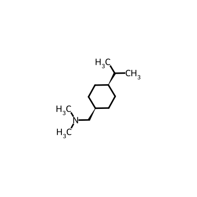 CC(C)[C@H]1CC[C@@H](CN(C)C)CC1